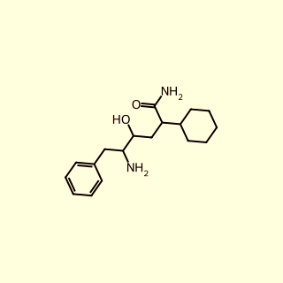 NC(=O)C(CC(O)C(N)Cc1ccccc1)C1CCCCC1